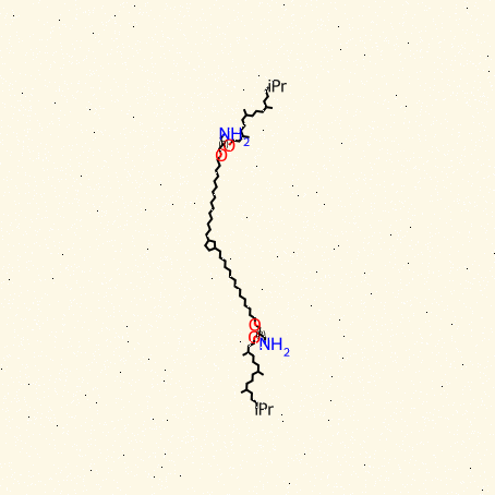 CC(C)CCCC(C)CCCC(C)CCCC(C)CCO[C@H](CN)COCCCCCCCCCCCCCCCC1CCC(CCCCCCCCCCCCCCCOC[C@@H](CN)OCCC(C)CCCC(C)CCCC(C)CCCC(C)C)C1